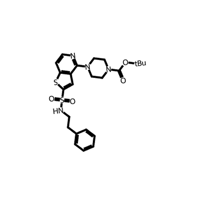 CC(C)(C)OC(=O)N1CCN(c2nccc3sc(S(=O)(=O)NCCc4ccccc4)cc23)CC1